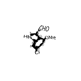 COc1cc(Cl)cc2[nH]cc(C=O)c12